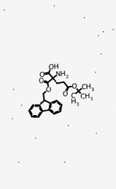 CC(C)(C)OC(=O)CCC(N)(C(=O)O)C(=O)OCC1c2ccccc2-c2ccccc21